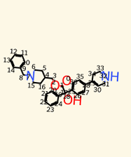 O=C(OCC1CCN(Cc2ccccc2)CC1)[C@@](O)(c1ccccc1)c1ccc(C2=CCNCC2)cc1